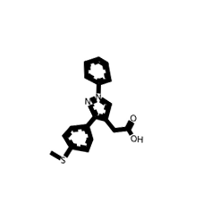 CSc1ccc(-c2nn(-c3ccccc3)cc2CC(=O)O)cc1